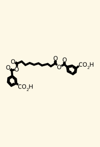 O=C(CCCCCCCCC(=O)OC(=O)c1cccc(C(=O)O)c1)OC(=O)c1cccc(C(=O)O)c1